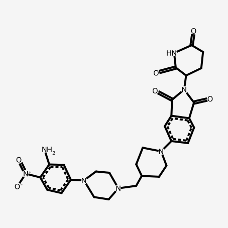 Nc1cc(N2CCN(CC3CCN(c4ccc5c(c4)C(=O)N(C4CCC(=O)NC4=O)C5=O)CC3)CC2)ccc1[N+](=O)[O-]